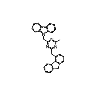 Cc1nc(Cc2cccc3c2-c2ccccc2C3)nc(Cn2c3ccccc3c3ccccc32)n1